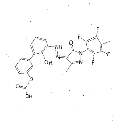 CC1=NN(c2c(F)c(F)c(C)c(F)c2F)C(=O)C1=NNc1cccc(-c2cccc(OC(=O)O)c2)c1O